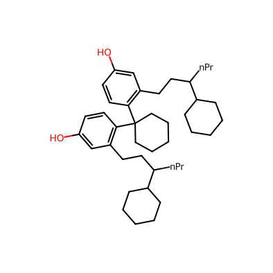 CCCC(CCc1cc(O)ccc1C1(c2ccc(O)cc2CCC(CCC)C2CCCCC2)CCCCC1)C1CCCCC1